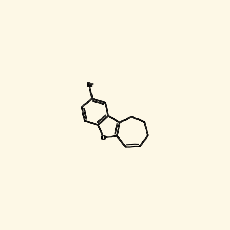 Brc1ccc2oc3c(c2c1)CCCC=C3